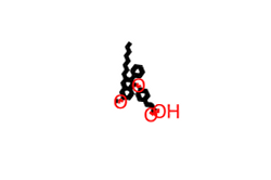 CCCCCCCCc1cc2cc(OC)ccc2c(Oc2ccc(/C=C/C(=O)O)cc2)c1-c1ccccc1